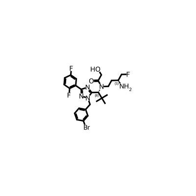 CC(C)(C)[C@H](c1nc(-c2cc(F)ccc2F)nn1Cc1cccc(Br)c1)N(CC[C@H](N)CF)C(=O)CO